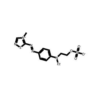 CCN(CCOS(=O)(=O)[O-])c1ccc(N=Nc2snc[n+]2C)cc1